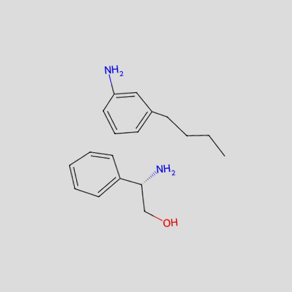 CCCCc1cccc(N)c1.N[C@H](CO)c1ccccc1